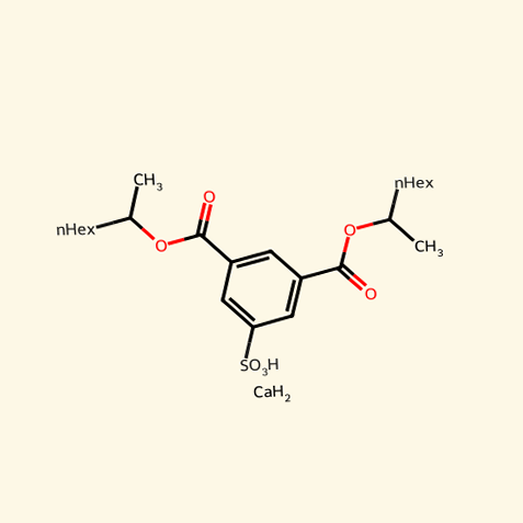 CCCCCCC(C)OC(=O)c1cc(C(=O)OC(C)CCCCCC)cc(S(=O)(=O)O)c1.[CaH2]